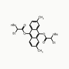 CCCCC(CC)C(=O)Oc1c2ccc(C)cc2c(OC(=O)C(CC)CCCC)c2cc(C)ccc12